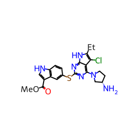 CCc1[nH]c2nc(Sc3ccc4[nH]cc(C(=O)OC)c4c3)nc(N3CC[C@H](N)C3)c2c1Cl